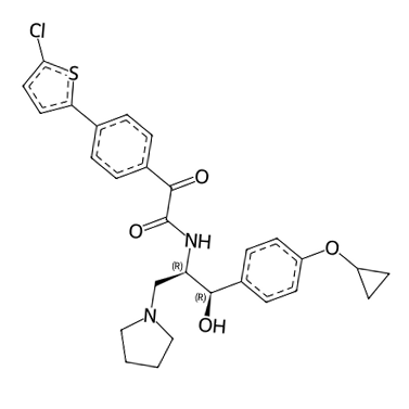 O=C(N[C@H](CN1CCCC1)[C@H](O)c1ccc(OC2CC2)cc1)C(=O)c1ccc(-c2ccc(Cl)s2)cc1